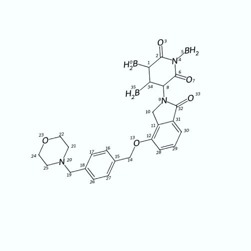 BC1C(=O)N(B)C(=O)C(N2Cc3c(OCc4ccc(CN5CCOCC5)cc4)cccc3C2=O)C1B